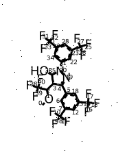 COC(C1C(c2cc(C(F)(F)F)cc(C(F)(F)F)c2)=NN(c2cc(C(F)(F)F)cc(C(F)(F)F)c2)C1O)C(F)(F)F